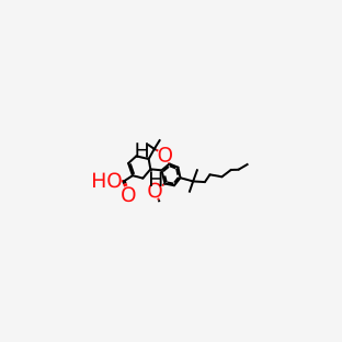 CCCCCCC(C)(C)c1cc(OC)c2c(c1)OC(C)(C)[C@H]1CC=C(C(=O)O)C[C@H]21